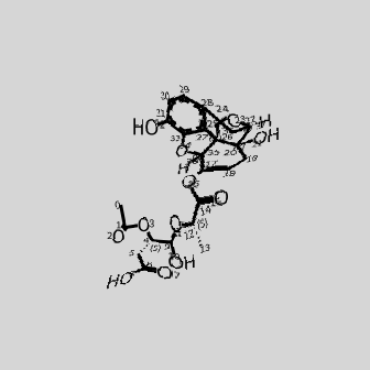 CC(=O)O[C@@H](CC(=O)O)C(O)O[C@@H](C)C(=O)OC1=CC[C@@]2(O)[C@@H]3CCC[C@@]24c2c(ccc(O)c2O[C@@H]14)C3